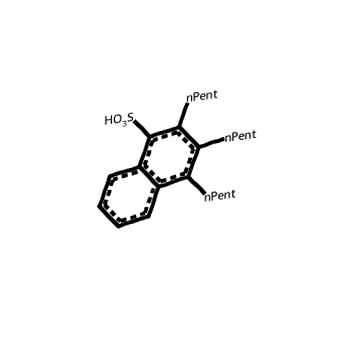 CCCCCc1c(CCCCC)c(S(=O)(=O)O)c2ccccc2c1CCCCC